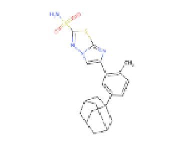 Cc1ccc(C23CC4CC(CC(C4)C2)C3)cc1-c1cn2nc(S(N)(=O)=O)sc2n1